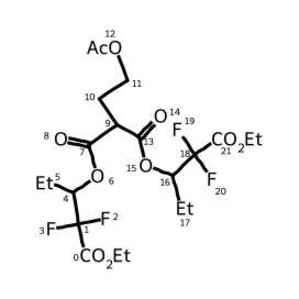 CCOC(=O)C(F)(F)C(CC)OC(=O)C(CCOC(C)=O)C(=O)OC(CC)C(F)(F)C(=O)OCC